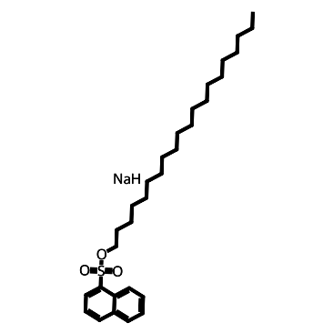 CCCCCCCCCCCCCCCCCCCCOS(=O)(=O)c1cccc2ccccc12.[NaH]